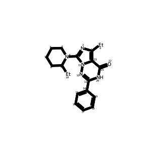 CCc1nc(N2CCCCC2CC)n2nc(-c3ccccc3)[nH]c(=O)c12